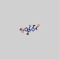 C=C(CCOC)N1CCN(c2nc(C3CC3)c3c(c2C#N)CCN(C(=O)OC(C)(C)C)C3)C[C@H]1C1CC1